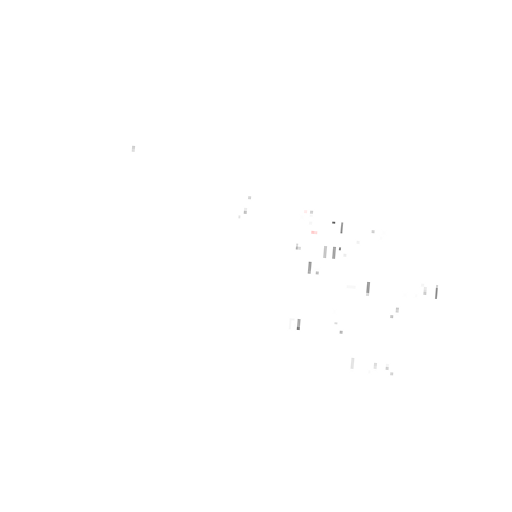 C#CCOc1ccc(OCCOCCOCCNC(=O)C(CC(=O)O)NC(=O)[C@H](CC(=O)O)NC(=O)[C@H](Cc2ccccc2)NC(=O)C(Cc2ccc(O)cc2)NC(=O)[C@@H](N)Cc2ccccc2)cc1